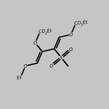 CCOC=C(OC(=O)OCC)C(=COC(=O)OCC)S(C)(=O)=O